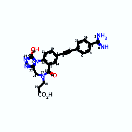 N=C(N)c1ccc(C#Cc2ccc3c(c2)C(=O)N(CCC(=O)O)Cc2nnc(O)n2-3)cc1